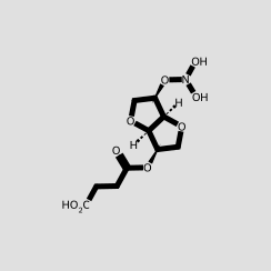 O=C(O)CCC(=O)O[C@@H]1CO[C@H]2[C@@H]1OC[C@H]2ON(O)O